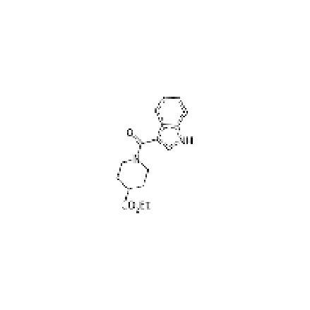 CCOC(=O)C1CCN(C(=O)c2c[nH]c3ccccc23)CC1